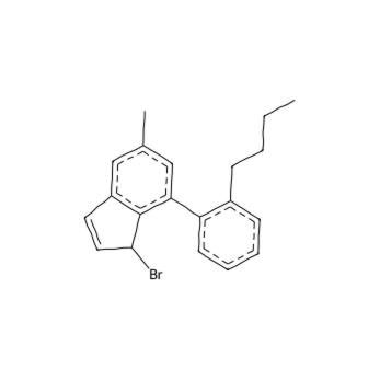 CCCCc1ccccc1-c1cc(C)cc2c1C(Br)C=C2